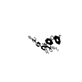 CC(C)(C)OC(=O)N1CCN(C2CCNc3c2nn(-c2ccc(Oc4cccc(F)c4)cc2)c3C(N)=O)CC1